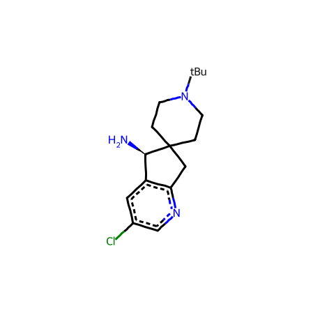 CC(C)(C)N1CCC2(CC1)Cc1ncc(Cl)cc1[C@H]2N